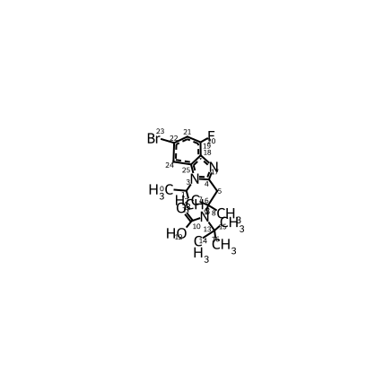 CC(C)n1c(CC(C)(C)N(C(=O)O)C(C)(C)C)nc2c(F)cc(Br)cc21